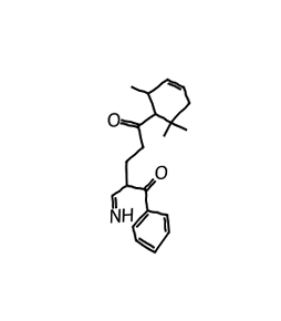 CC1C=CCC(C)(C)C1C(=O)CCC(C=N)C(=O)c1ccccc1